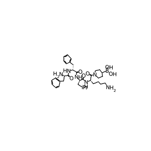 CC(C)C[C@@H](NC(=O)[C@@H](Cc1ccccc1)NC(=O)[C@H](N)Cc1ccccc1)C(=O)N[C@H](CCCCN)C(=O)N1CCC(B(O)O)CC1